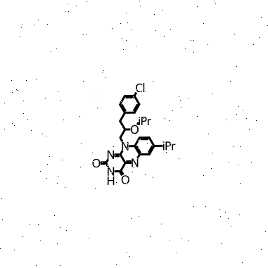 CC(C)OC(Cc1ccc(Cl)cc1)Cn1c2nc(=O)[nH]c(=O)c-2nc2cc(C(C)C)ccc21